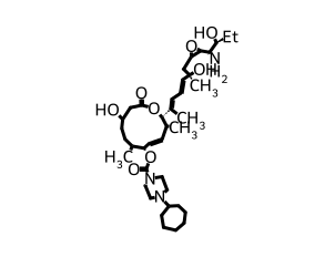 CC[C@H](O)[C@@H](N)C1OC1C[C@@](C)(O)/C=C/C=C(\C)[C@H]1OC(=O)CC(O)CCC(C)[C@@H](OC(=O)N2CCN(C3CCCCCC3)CC2)/C=C/C1C